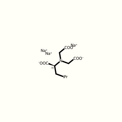 CC(C)C[C@@H](C(=O)[O-])N(CC(=O)[O-])CC(=O)[O-].[Na+].[Na+].[Na+]